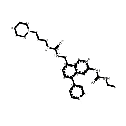 CCNC(=O)Nc1cc2c(-c3ccncc3)ccc(CNC(=O)OCCCN3CCCCC3)c2cn1